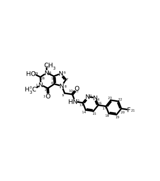 CN1C(=O)c2c(ncn2CC(=O)Nc2ccc(-c3ccc(F)cc3)nn2)N(C)C1O